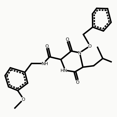 COc1cccc(CNC(=O)C2NC(=O)C(CC(C)C)N(OCc3ccccc3)C2=O)c1